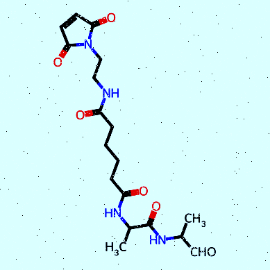 CC(C=O)NC(=O)C(C)NC(=O)CCCCC(=O)NCCN1C(=O)C=CC1=O